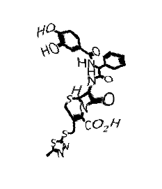 Cc1nnc(SCC2=C(C(=O)O)N3C(=O)C(NC(=O)C(NC(=O)c4ccc(O)c(O)c4)c4ccccc4)[C@@H]3SC2)s1